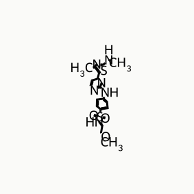 CNc1nc(C)c(-c2ccnc(Nc3ccc(S(=O)(=O)NCCOC)cc3)n2)s1